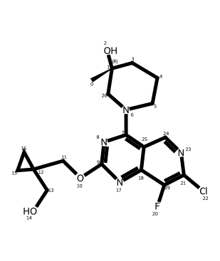 C[C@@]1(O)CCCN(c2nc(OCC3(CO)CC3)nc3c(F)c(Cl)ncc23)C1